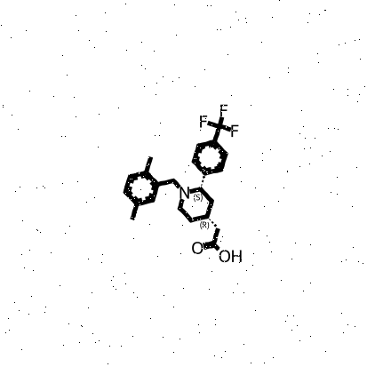 Cc1ccc(C)c(CN2CC[C@@H](CC(=O)O)C[C@H]2c2ccc(C(F)(F)F)cc2)c1